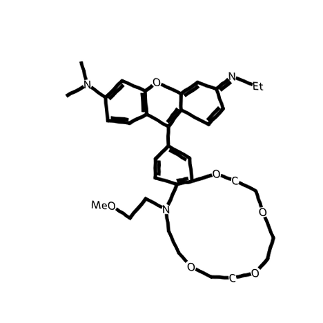 CC/N=c1\ccc2c(-c3ccc4c(c3)OCCOCCOCCOCCN4CCOC)c3ccc(N(C)C)cc3oc-2c1